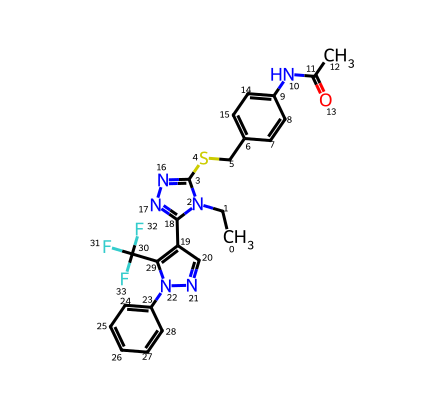 CCn1c(SCc2ccc(NC(C)=O)cc2)nnc1-c1cnn(-c2ccccc2)c1C(F)(F)F